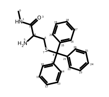 CNC(=O)C(N)CSC(c1ccccc1)(c1ccccc1)c1ccccc1